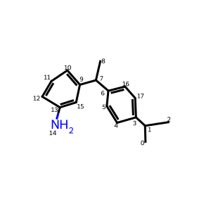 CC(C)c1ccc(C(C)c2cccc(N)c2)cc1